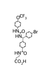 O=C(O)CCNC(=O)c1ccc(C(NC(=O)Nc2ccc(OC(F)(F)F)cc2)c2ccc(Br)cc2)cc1